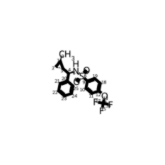 C[C@H]1C[C@H]1[C@@H](NS(=O)(=O)c1ccc(OC(F)(F)F)cc1)c1ccccc1